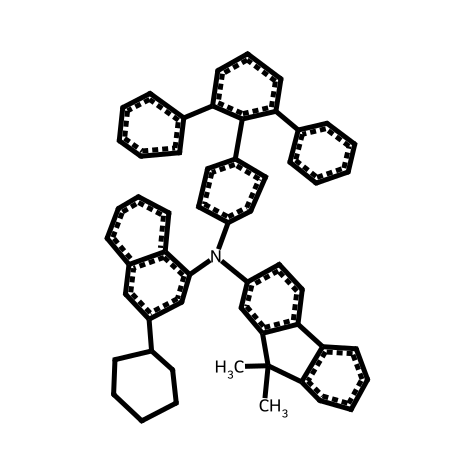 CC1(C)c2ccccc2-c2ccc(N(c3ccc(-c4c(-c5ccccc5)cccc4-c4ccccc4)cc3)c3cc(C4CCCCC4)cc4ccccc34)cc21